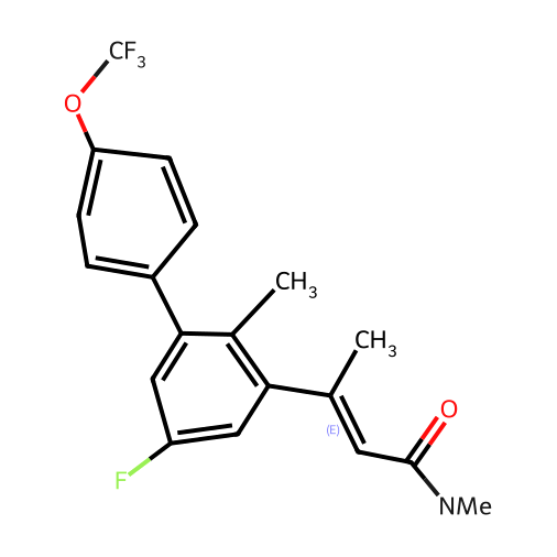 CNC(=O)/C=C(\C)c1cc(F)cc(-c2ccc(OC(F)(F)F)cc2)c1C